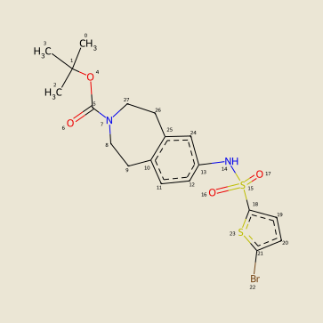 CC(C)(C)OC(=O)N1CCc2ccc(NS(=O)(=O)c3ccc(Br)s3)cc2CC1